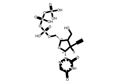 C#CC1(F)C(CO)[C@@H](COP(=O)(O)OP(=O)(O)OP(=O)(O)O)O[C@H]1n1ncc(=O)[nH]c1=O